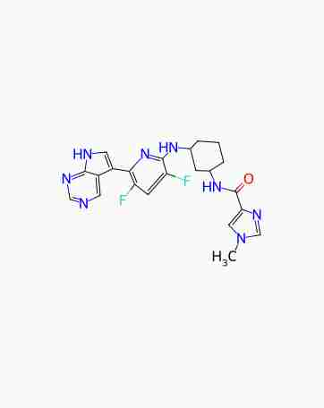 Cn1cnc(C(=O)NC2CCCC(Nc3nc(-c4c[nH]c5ncncc45)c(F)cc3F)C2)c1